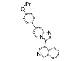 CC(C)Oc1ccc(-c2ccn3c(-c4cncc5ccccc45)cnc3c2)cc1